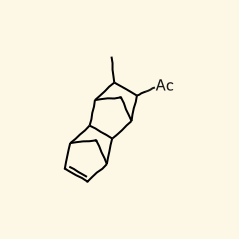 CC(=O)C1C(C)C2CC1C1C3C=CC(C3)C21